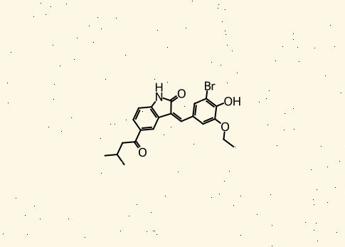 CCOc1cc(C=C2C(=O)Nc3ccc(C(=O)CC(C)C)cc32)cc(Br)c1O